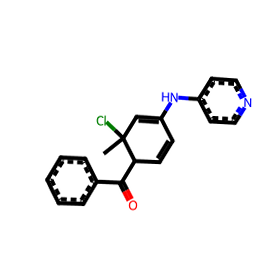 CC1(Cl)C=C(Nc2ccncc2)C=CC1C(=O)c1ccccc1